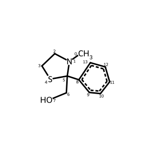 CN1CCSC1(CO)c1ccccc1